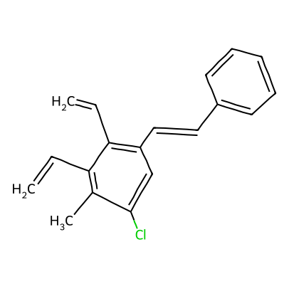 C=Cc1c(C=Cc2ccccc2)cc(Cl)c(C)c1C=C